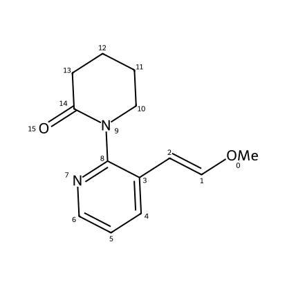 CO/C=C/c1cccnc1N1CCCCC1=O